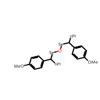 CCCC([Se]O[Se]C(CCC)c1ccc(OC)cc1)c1ccc(OC)cc1